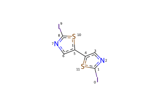 Ic1ncc(-c2cnc(I)s2)s1